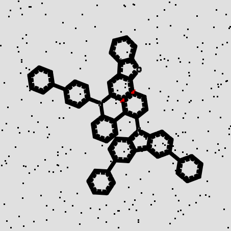 c1ccc(-c2ccc(N(c3ccc4oc5ccccc5c4c3)c3ccccc3-c3ccccc3-n3c4ccc(-c5ccccc5)cc4c4cc(-c5ccccc5)ccc43)cc2)cc1